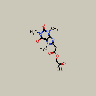 CC(=O)COC(=O)Cc1nc2c(c(=O)n(C)c(=O)n2C)n1C